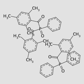 Cc1cc(C)c(C(=O)P(=O)(C(=O)c2c(C)cc(C)cc2C)c2ccccc2)c(C)c1.Cc1cc(C)c(C(=O)P(=O)(c2ccccc2)c2ccccc2)c(C)c1